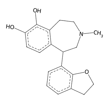 CN1CCc2c(ccc(O)c2O)C(c2cccc3c2OCC3)C1